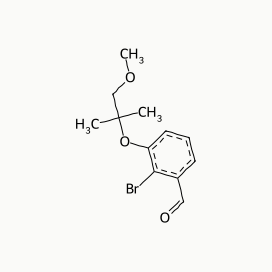 COCC(C)(C)Oc1cccc(C=O)c1Br